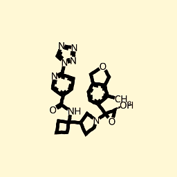 Cc1c(C2(N3CCC(C4(NC(=O)c5ccc(-n6cnnn6)nc5)CCC4)C3)O[C@H]2O)ccc2c1COC2